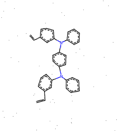 C=Cc1cccc(N(c2ccccc2)c2ccc(N(c3ccccc3)c3cccc(C=C)c3)cc2)c1